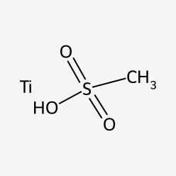 CS(=O)(=O)O.[Ti]